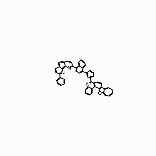 C1=CCC=c2c(oc3c2ccc2c(-c4cccc(-c5ccc(-c6ccc7ccc8ccc(-c9ccccc9)nc8c7n6)c6ccccc56)c4)nc4ccccc4c23)=C1